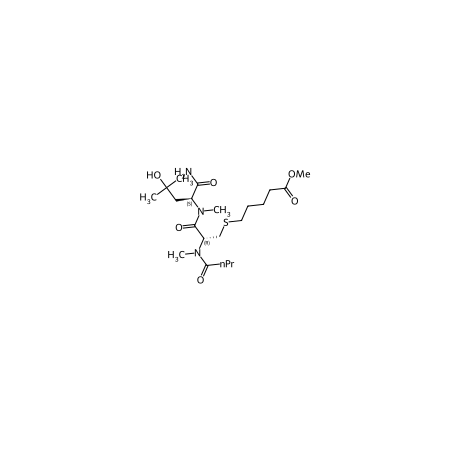 CCCC(=O)N(C)[C@@H](CSCCCCC(=O)OC)C(=O)N(C)[C@@H](CC(C)(C)O)C(N)=O